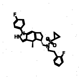 C[C@H]1C2=CNN(c3ccc(F)cc3)C2=CC2=C1[C@@H](CN(CCc1ccccc1F)S(=O)(=O)C1CC1)CC2